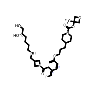 C=C(/C=C\C(=C\F)CC(=O)N1CC(CNCCCC[C@H](O)CO)C1)OCCCC1CCN(C(=O)OC2(C(F)(F)F)COC2)CC1